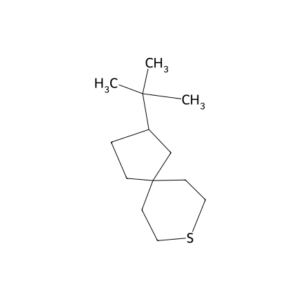 CC(C)(C)C1CCC2(CCSCC2)C1